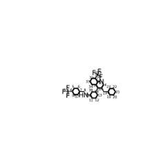 FC(F)(F)c1ccc(CNc2cccc(-c3c(Cc4ccccc4)cnc4c(C(F)(F)F)cccc34)c2)cc1